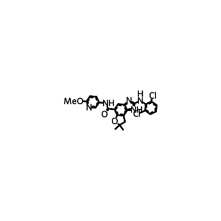 COc1ccc(NC(=O)c2cc3nc(Nc4c(Cl)cccc4Cl)[nH]c3c3c2OC(C)(C)C3)cn1